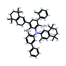 CCCC1=C2C(=C(C3=CC4=C(CC3)C(C)(C)CCC4(C)C)CC1c1ccccc1C)Bc1ccc(-c3ccccc3)cc1N2c1cc2c(cc1C)C(C)(C)CCC2(C)C